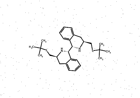 CC(C)(C)SC[C@@H]1Cc2ccccc2[C@@H]([C@H]2N[C@H](CSC(C)(C)C)Cc3ccccc32)N1